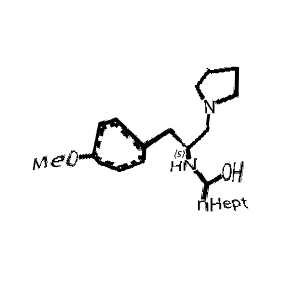 CCCCCCCC(O)N[C@@H](Cc1ccc(OC)cc1)CN1CCCC1